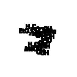 CCOC(=O)c1c(C)cc2c(c1O)[C@]1(O)C(=O)c3cc4c(c(O)c3C(=O)[C@]1(OC)[C@H](O)C2)C(=O)C=C(N[C@H]1O[C@@H](C)[C@H](OC)[C@@H](O)[C@H]1CO)C4=O